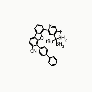 BC(B)(c1cc(-c2cccc3c2oc2c(-c4ccc(-c5ccccc5)cc4)c(C#N)ccc23)ncc1F)C(C)(C)C